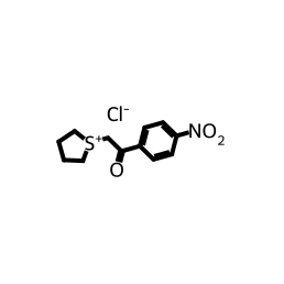 O=C(C[S+]1CCCC1)c1ccc([N+](=O)[O-])cc1.[Cl-]